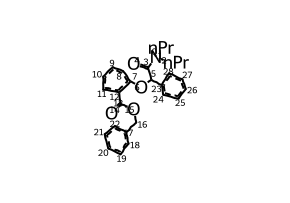 CCCN(CCC)C(=O)C(Oc1ccccc1C(=O)OCc1ccccc1)c1ccccc1